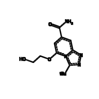 CC(C)(C)c1nnc2cc(C(N)=O)cc(OCCO)n12